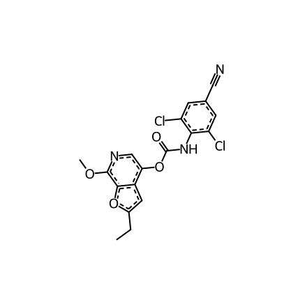 CCc1cc2c(OC(=O)Nc3c(Cl)cc(C#N)cc3Cl)cnc(OC)c2o1